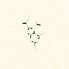 CC(C)C(=O)c1nc2nc(N)nc(N)c2n1C(=O)C(C)C